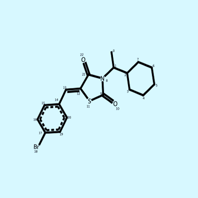 CC(C1CCCCC1)N1C(=O)S/C(=C\c2ccc(Br)cc2)C1=O